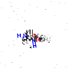 CCCC(N)(CCC)CCNC(=O)OC(C)(C)C